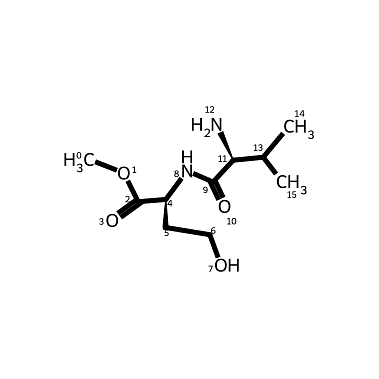 COC(=O)[C@H](CCO)NC(=O)[C@@H](N)C(C)C